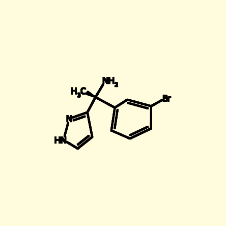 C[C@@](N)(c1cccc(Br)c1)c1cc[nH]n1